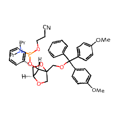 COc1ccc(C(OCC23CO[C@@H]([C@H](c4ccccc4)O2)[C@@H]3OP(OCCC#N)N(C(C)C)C(C)C)(c2ccccc2)c2ccc(OC)cc2)cc1